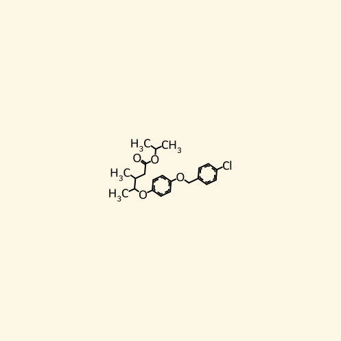 CC(C)OC(=O)CC(C)C(C)Oc1ccc(OCc2ccc(Cl)cc2)cc1